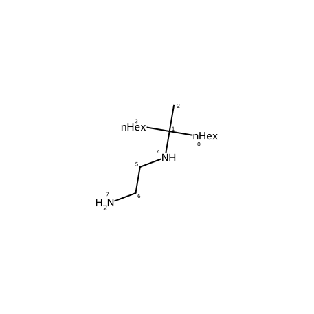 CCCCCCC(C)(CCCCCC)NCCN